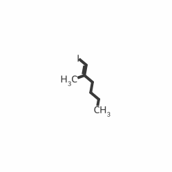 CCCC/C(C)=C/I